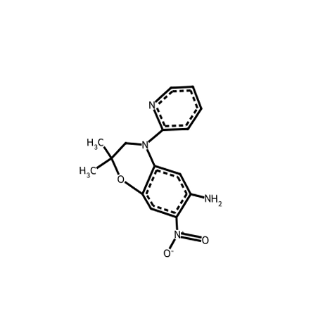 CC1(C)CN(c2ccccn2)c2cc(N)c([N+](=O)[O-])cc2O1